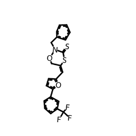 FC(F)(F)c1cccc(-c2ccc(/C=C3\CON(Cc4ccccc4)C(=S)S3)o2)c1